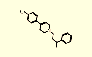 CC(CCN1CC=C(c2ccc(Cl)cc2)CC1)c1ccccc1